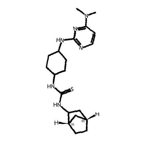 CN(C)c1ccnc(NC2CCC(NC(=S)NC3C[C@@H]4CC[C@H]3C4)CC2)n1